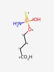 NP(O)(=S)OCCCC(=O)O